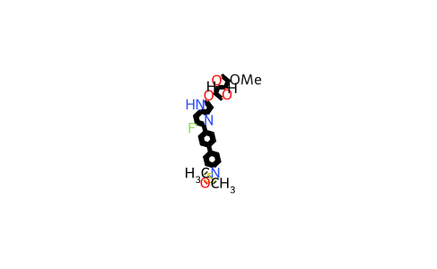 CO[C@@H]1CO[C@H]2[C@@H]1OC[C@H]2Oc1cc2nc(-c3ccc(-c4ccc(N=S(C)(C)=O)cc4)cc3)c(F)cc2[nH]1